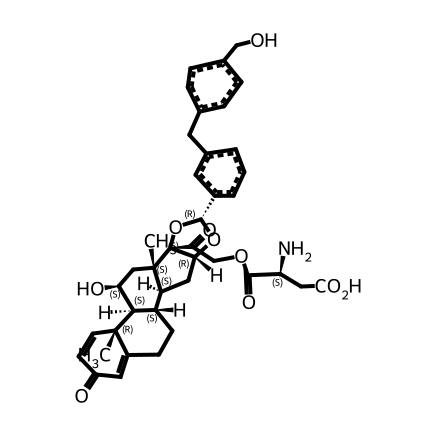 C[C@]12C=CC(=O)C=C1CC[C@@H]1[C@@H]2[C@@H](O)C[C@@]2(C)[C@H]1C[C@H]1O[C@@H](c3cccc(Cc4ccc(CO)cc4)c3)O[C@]12C(=O)COC(=O)[C@@H](N)CC(=O)O